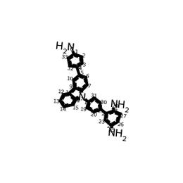 Nc1ccc(-c2ccc3c(c2)c2ccccc2n3-c2ccc(-c3cc(N)ccc3N)cc2)cc1